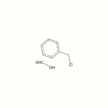 ClCc1ccccc1.O=CO